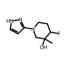 CC1(O)CN(c2cc[nH]n2)CCC1F